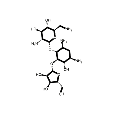 NC[C@H]1O[C@H](O[C@H]2[C@H](O[C@@H]3O[C@H](CO)[C@@H](O)[C@H]3O)[C@@H](O)[C@H](N)C[C@@H]2N)[C@H](N)[C@@H](O)[C@@H]1O